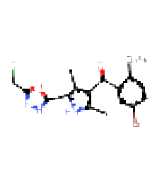 COc1ccc(Br)cc1C(=O)c1c(C)[nH]c(-c2nnc(CCl)o2)c1C